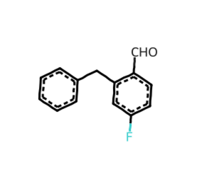 O=Cc1ccc(F)cc1Cc1ccccc1